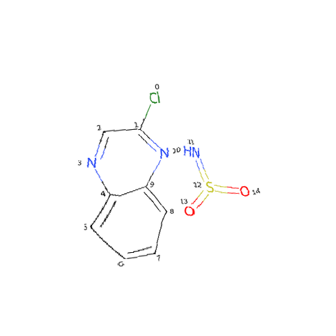 Clc1cnc2ccccc2n1.N=S(=O)=O